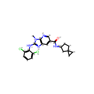 Cn1c(Nc2c(Cl)cccc2Cl)nc2cc(C(=O)NC3CCC4(CC4)C3)cnc21